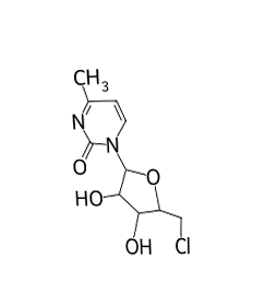 Cc1ccn(C2OC(CCl)C(O)C2O)c(=O)n1